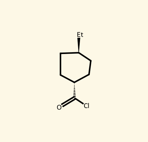 CC[C@H]1CC[C@H](C(=O)Cl)CC1